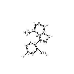 Cc1cc(F)ccc1-c1nnc2ccnc(N)n12